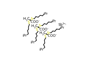 CC(C)CCCCCSC(C)(SCCCCCC(C)C)C(=O)[O-].CC(C)CCCCCSC(C)(SCCCCCC(C)C)C(=O)[O-].CC(C)CCCCCSC(C)(SCCCCCC(C)C)C(=O)[O-].[Sb+3]